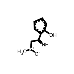 C[S+]([O-])CC(=N)c1ccccc1O